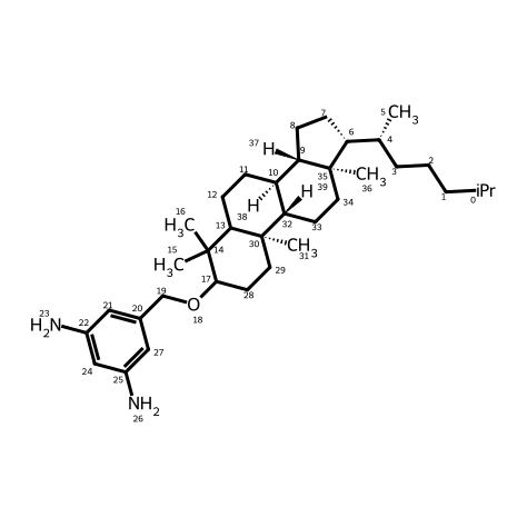 CC(C)CCC[C@@H](C)[C@H]1CC[C@H]2[C@@H]3CCC4C(C)(C)C(OCc5cc(N)cc(N)c5)CC[C@]4(C)[C@H]3CC[C@]12C